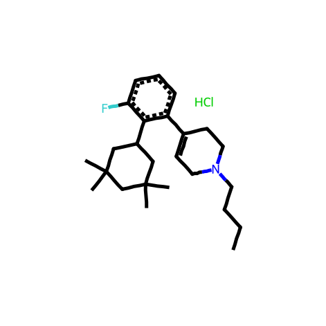 CCCCN1CC=C(c2cccc(F)c2C2CC(C)(C)CC(C)(C)C2)CC1.Cl